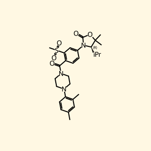 Cc1ccc(N2CCN(C(=O)c3ccc(N4C(=O)OC(C)(C)[C@H]4C(C)C)cc3S(C)(=O)=O)CC2)c(C)c1